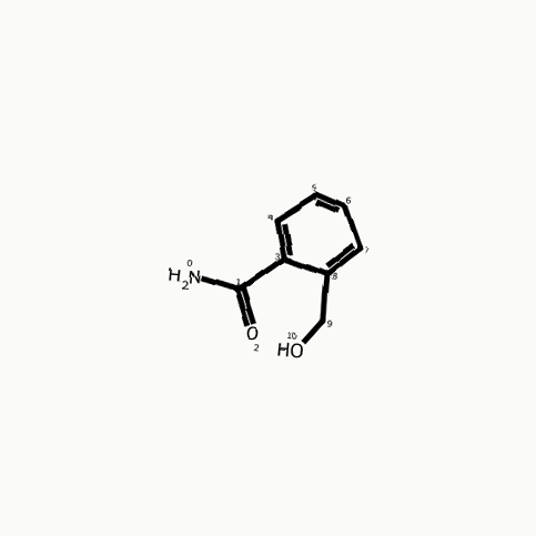 NC(=O)c1c[c]ccc1CO